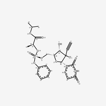 C#CC1(Cl)[C@@H](O)[C@@H](CO[P@](=O)(Oc2ccccc2)O[C@@H](C)C(=O)OC(C)C)O[C@H]1n1ncc(=O)[nH]c1=O